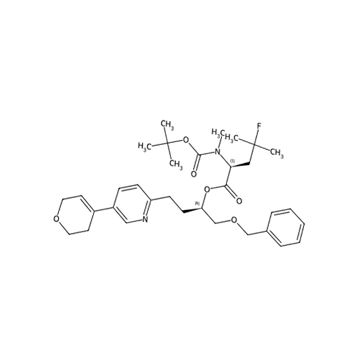 CN(C(=O)OC(C)(C)C)[C@@H](CC(C)(C)F)C(=O)O[C@H](CCc1ccc(C2=CCOCC2)cn1)COCc1ccccc1